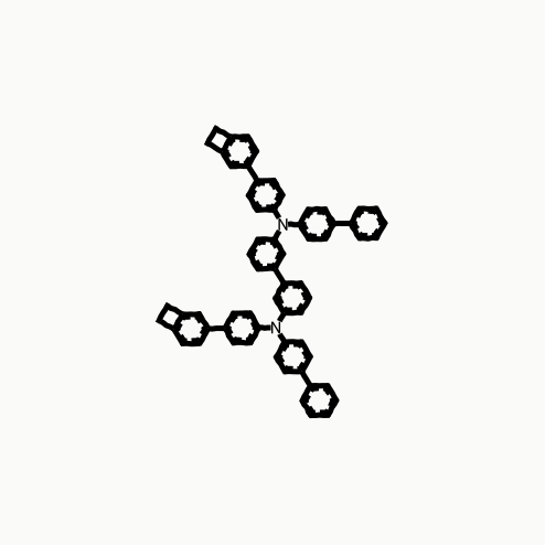 c1ccc(-c2ccc(N(c3ccc(-c4ccc5c(c4)CC5)cc3)c3cccc(-c4cccc(N(c5ccc(-c6ccccc6)cc5)c5ccc(-c6ccc7c(c6)CC7)cc5)c4)c3)cc2)cc1